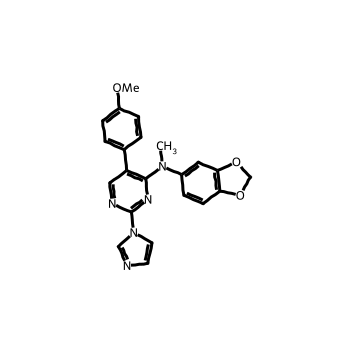 COc1ccc(-c2cnc(-n3ccnc3)nc2N(C)c2ccc3c(c2)OCO3)cc1